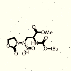 COC(=O)[C@H](CN(N1CCOC1=O)[SH](=O)=O)NC(=O)OC(C)(C)C